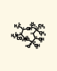 CC(O)C(N)C(=O)O.C[N+](C)(C)CC(O)P(=O)(O)O